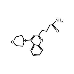 NC(=O)CCCc1cc(N2CCOCC2)c2ccccc2n1